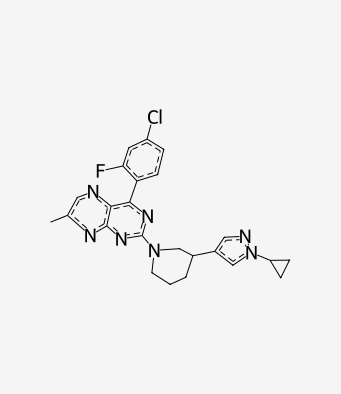 Cc1cnc2c(-c3ccc(Cl)cc3F)nc(N3CCCC(c4cnn(C5CC5)c4)C3)nc2n1